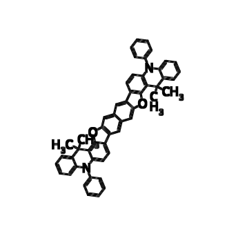 CC1(C)c2ccccc2N(c2ccccc2)c2ccc3c(oc4cc5cc6c(cc5cc43)oc3c4c(ccc36)N(c3ccccc3)c3ccccc3C4(C)C)c21